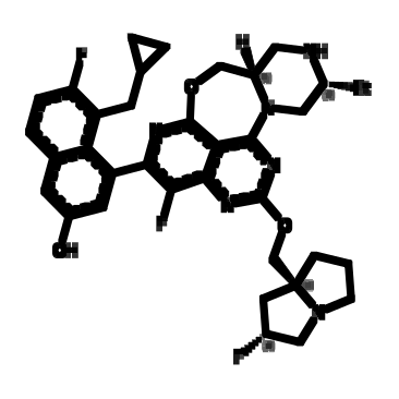 CC[C@@H]1CN2c3nc(OC[C@@]45CCCN4C[C@H](F)C5)nc4c(F)c(-c5cc(O)cc6ccc(F)c(CC7CC7)c56)nc(c34)OC[C@@H]2CN1